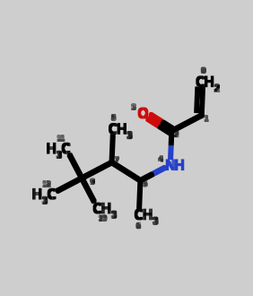 C=CC(=O)NC(C)C(C)C(C)(C)C